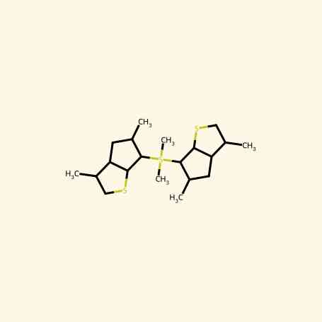 CC1CSC2C1CC(C)C2S(C)(C)C1C(C)CC2C(C)CSC21